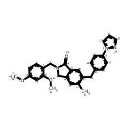 COc1ccc(CN2Cc3cc(C)c(Cc4ccc(-n5cccn5)cc4)cc3C2=O)c(OC)c1